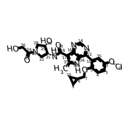 COc1ccc(OCC2CC2)c(-c2ncnc3c(C(=O)N[C@@H]4CN(C(=O)CO)C[C@@H]4O)c(C)[nH]c23)c1